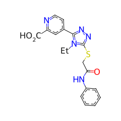 CCn1c(SCC(=O)Nc2ccccc2)nnc1-c1ccnc(C(=O)O)c1